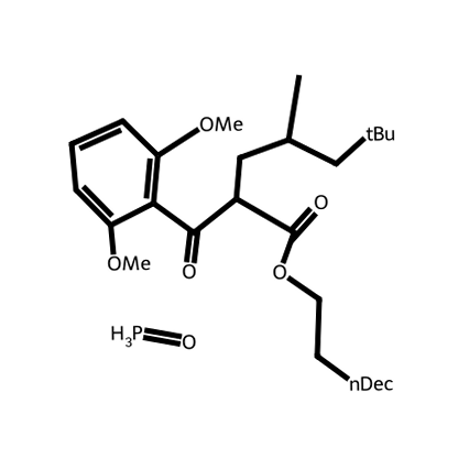 CCCCCCCCCCCCOC(=O)C(CC(C)CC(C)(C)C)C(=O)c1c(OC)cccc1OC.O=[PH3]